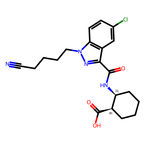 N#CCCCCn1nc(C(=O)N[C@H]2CCCC[C@H]2C(=O)O)c2cc(Cl)ccc21